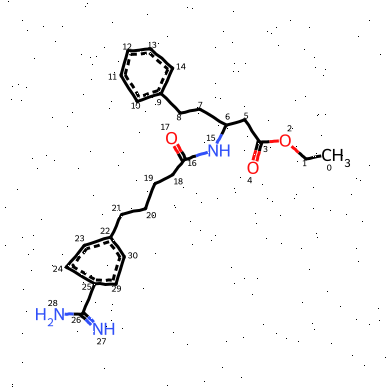 CCOC(=O)CC(CCc1ccccc1)NC(=O)CCCCc1ccc(C(=N)N)cc1